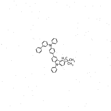 CC(C)(C)c1ccc2c(c1)c1cc(-c3ccc(N(c4ccccc4)c4cccc(-c5ccccc5)c4)cc3)ccc1n2-c1ccccc1